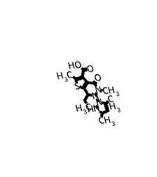 CCC1c2sc(C)c(C(=O)O)c2C(=O)N(C)N1N1NC(C)C=C1C